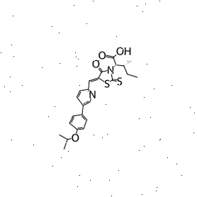 CC[C@@H](C)[C@@H](C(=O)O)N1C(=O)C(=Cc2ccc(-c3ccc(OC(C)C)cc3)cn2)SC1=S